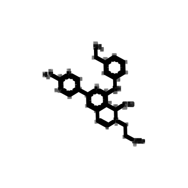 COCCN1C=Cc2cc(-c3cnc(N)nc3)nc(Nc3cccc(CN)c3)c2C1C=O